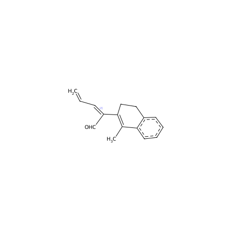 C=C/C=C(\C=O)C1=C(C)c2ccccc2CC1